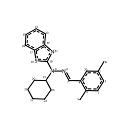 Cc1ccc(C)c(/C=N/N(c2nc3ccccc3s2)C2CCCCC2)c1